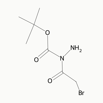 CC(C)(C)OC(=O)N(N)C(=O)CBr